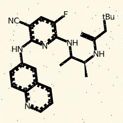 C=C(CC(C)(C)C)N[C@@H](C)C(C)Nc1nc(Nc2ccc3ncccc3c2)c(C#N)cc1F